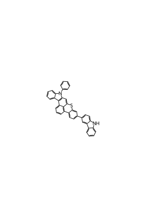 c1ccc(-n2c3ccccc3c3c4cccc5c4c(cc32)Sc2cc(-c3ccc4[nH]c6ccccc6c4c3)ccc2-5)cc1